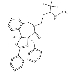 CNC(CCN1Cc2ccccc2[C@@H]2OC(c3ccccc3)=N[C@]2(Cc2ccccc2)C1=O)C(F)(F)F